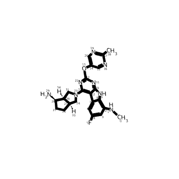 CNc1cc(F)cc2c1[nH]c1nc(Oc3cnc(C)nc3)nc(N3C[C@H]4CC[C@@H](N)[C@H]4C3)c12